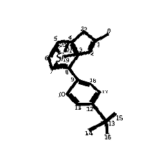 CC1=C2c3c(ccc(c3-c3ccc(C(C)(C)C)cc3)[Si]2(C)C)[CH]1